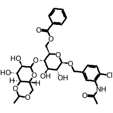 CC(=O)Nc1cc(CO[C@@H]2O[C@H](COC(=O)c3ccccc3)[C@@H](OC3O[C@@H]4COC(C)O[C@H]4[C@H](O)[C@H]3O)[C@H](O)[C@H]2O)ccc1Cl